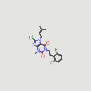 CC(C)=CCn1c(Cl)nc2c1c(=O)n(CCc1c(F)cccc1F)c(=O)n2C